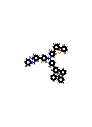 c1ccc([Si](c2ccccc2)(c2ccccc2)c2ccc(-c3ccc(N(c4ccc(-c5ccc6nc7ccccc7nc6c5)cc4)c4ccc(-c5cccc6c5oc5ccccc56)cc4)cc3)cc2)cc1